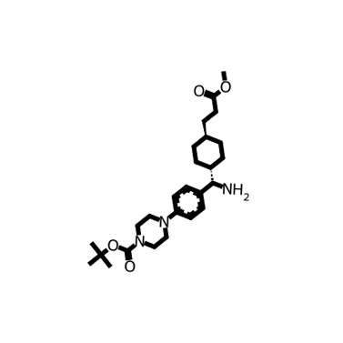 COC(=O)CC[C@H]1CC[C@H](C(N)c2ccc(N3CCN(C(=O)OC(C)(C)C)CC3)cc2)CC1